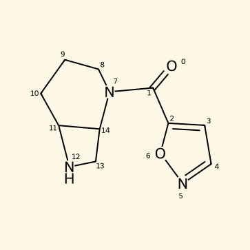 O=C(c1ccno1)N1CCCC2NCC21